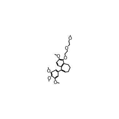 COCCOCCOc1c(OC)ccc2c1CCCC=C2c1cc(OC)c(OC)c(OC)c1